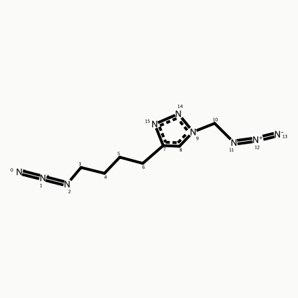 [N-]=[N+]=NCCCCc1cn(CN=[N+]=[N-])nn1